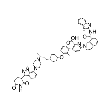 Cc1c(OC2CCC(CCC(C)N3CCN(c4cccc5c(C6CCC(=O)NC6=O)nn(C)c45)CC3)CC2)cccc1-c1ccc(N2CCc3cccc(C(=O)Nc4nc5ccccc5s4)c3C2)nc1C(=O)O